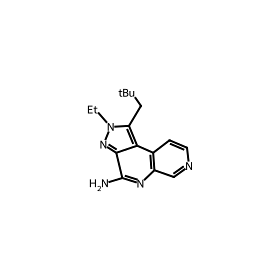 CCn1nc2c(N)nc3cnccc3c2c1CC(C)(C)C